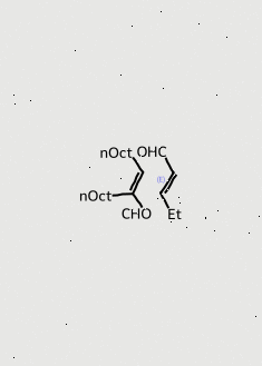 CC/C=C/C=O.CCCCCCCCC=C(C=O)CCCCCCCC